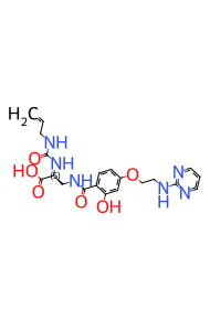 C=CCNC(=O)N[C@@H](CNC(=O)c1ccc(OCCNc2ncccn2)cc1O)C(=O)O